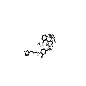 Cc1cccc(C)c1-c1nc(Nc2ccc(OCCCn3ccnc3)c(F)c2)ncc1C(N)=O